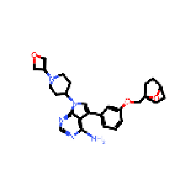 Nc1ncnc2c1c(-c1cccc(OCC34CCC(CC3)O4)c1)cn2C1CCN(C2COC2)CC1